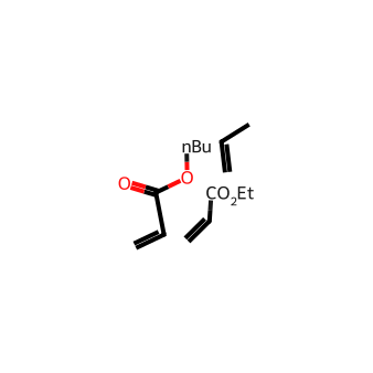 C=CC.C=CC(=O)OCC.C=CC(=O)OCCCC